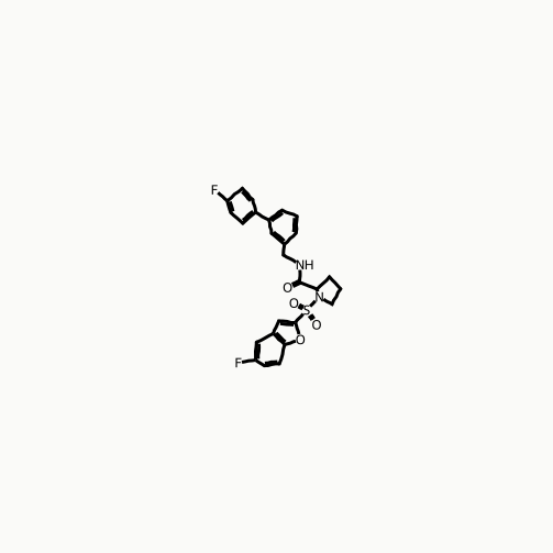 O=C(NCc1cccc(-c2ccc(F)cc2)c1)C1CCCN1S(=O)(=O)c1cc2cc(F)ccc2o1